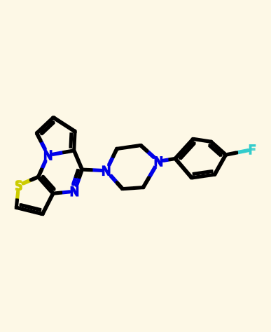 Fc1ccc(N2CCN(c3nc4ccsc4n4cccc34)CC2)cc1